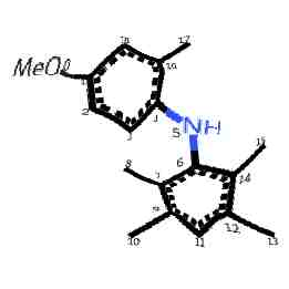 COc1ccc(Nc2c(C)c(C)cc(C)c2C)c(C)c1